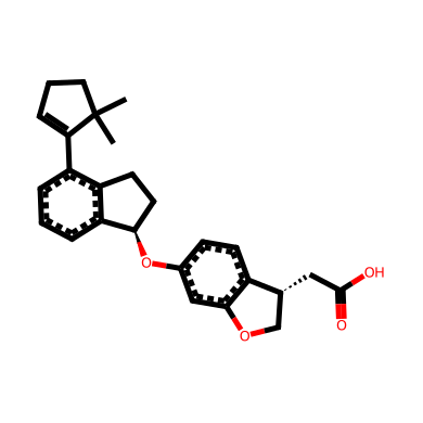 CC1(C)CCC=C1c1cccc2c1CC[C@H]2Oc1ccc2c(c1)OC[C@H]2CC(=O)O